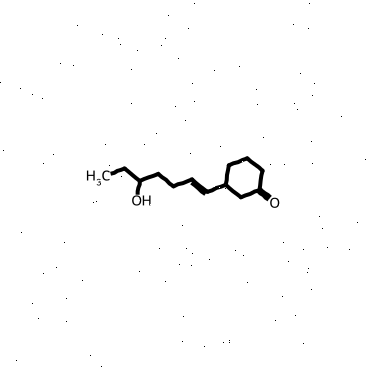 CCC(O)CCC=CC1CCCC(=O)C1